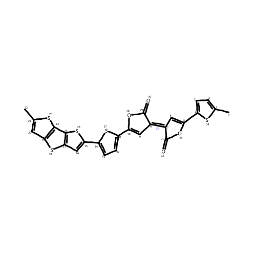 Cc1ccc(C2=C/C(=C3/C=C(c4ccc(-c5cc6sc7cc(C)sc7c6s5)s4)OC3=O)C(=O)O2)s1